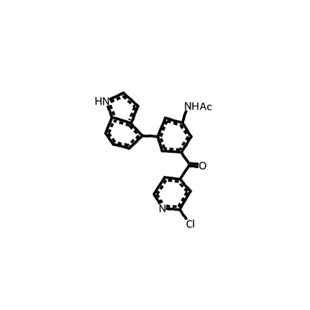 CC(=O)Nc1cc(C(=O)c2ccnc(Cl)c2)cc(-c2cccc3[nH]ccc23)c1